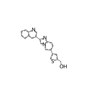 OCc1cc(-c2ccc3nc(-c4cnc5ccccc5c4)cn3c2)cs1